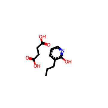 CCCc1cccnc1O.O=C(O)CCC(=O)O